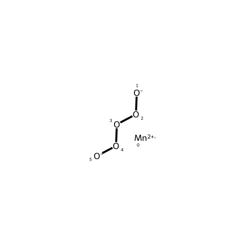 [Mn+2].[O-]OOO[O-]